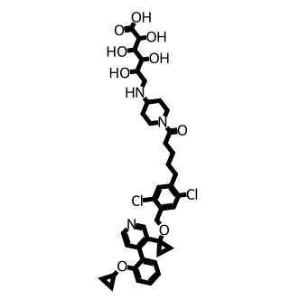 O=C(O)C(O)C(O)C(O)C(O)CNC1CCN(C(=O)CCCCc2cc(Cl)c(COC3(c4cnccc4-c4ccccc4OC4CC4)CC3)cc2Cl)CC1